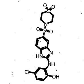 O=S1(=O)CCN(S(=O)(=O)c2ccc3[nH]c(Nc4cc(Cl)ccc4O)nc3c2)CC1